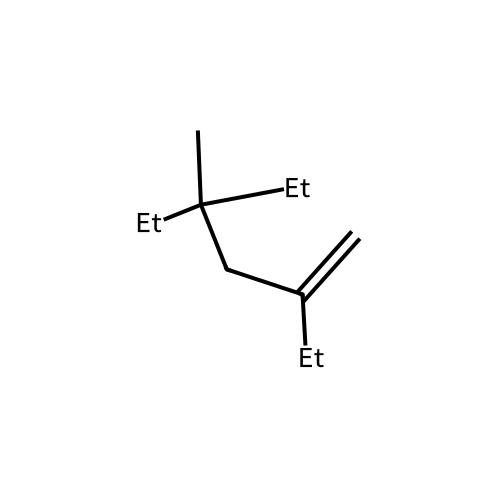 C=C(CC)CC(C)(CC)CC